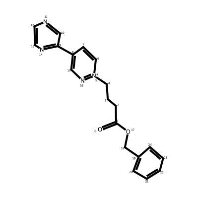 O=C(CCC[n+]1ccc(-c2cnccn2)cn1)OCc1ccccc1